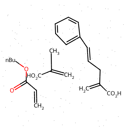 C=C(C)C(=O)O.C=C(CC=Cc1ccccc1)C(=O)O.C=CC(=O)OCCCC